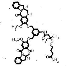 COc1cc2c(cc1OCc1cc(COc3cc4c(cc3OC)C(=O)N3c5ccccc5C[C@H]3CN4)cc(NC(=O)CC(C)(C)SSCCCC(N)=O)c1)NC[C@@H]1Cc3ccccc3N1C2=O